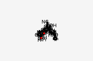 CC(C)C(=O)Nc1nc2c(ncn2C2OC(COP(=O)(OCCC#N)[C@@H]3C(CO)OC(n4cnc5c(NC(=O)c6ccccc6)ncnc54)[C@@H]3F)[C@@H](P(=O)(O)OCCC#N)[C@H]2F)c(=O)[nH]1